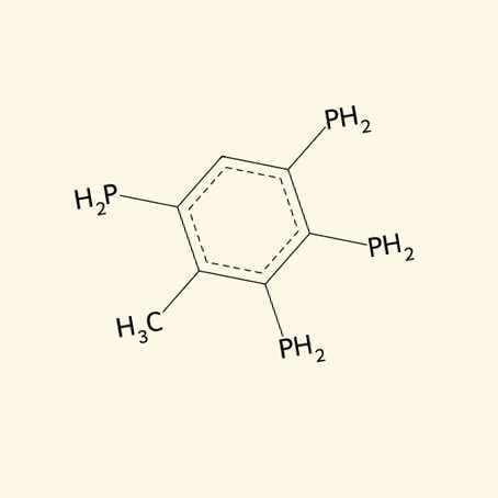 Cc1c(P)cc(P)c(P)c1P